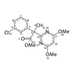 COC(=O)C(C)(c1cccc(Cl)c1)c1nc(OC)cc(OC)n1